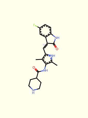 Cc1[nH]c(/C=C2\C(=O)Nc3ccc(F)cc32)c(C)c1NC(=O)C1CCNCC1